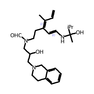 C=C/C(C)=C(\C=C\NC(C)(O)C(C)C)CCN(C=O)CC(O)CN1CCc2ccccc2C1